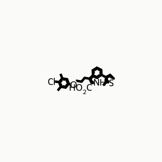 Cc1cc(OCCCc2c(C(=O)O)[nH]c3c(-c4ccsc4C)cccc23)cc(C)c1Cl